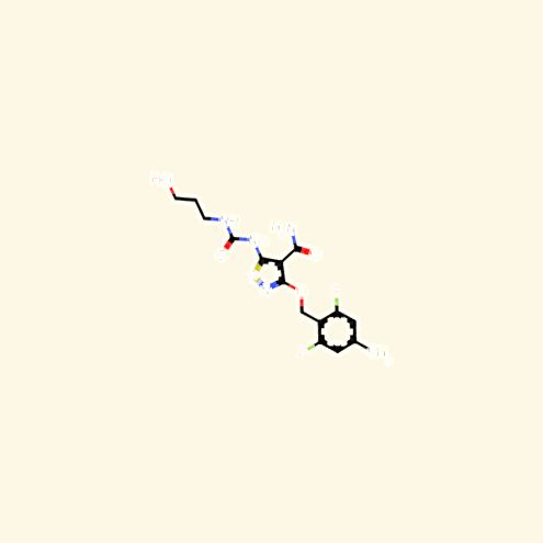 Cc1cc(F)c(COc2nsc(NC(=O)NCCCO)c2C(N)=O)c(F)c1